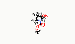 [2H]C1([2H])CC([2H])([2H])[C@]([2H])(O)C([2H])([2H])N1C(=O)OC(C)(C)C